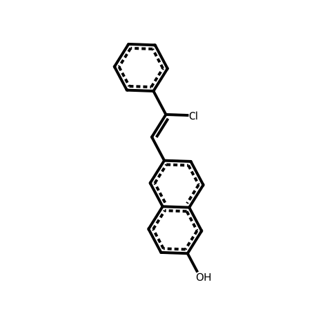 Oc1ccc2cc(/C=C(\Cl)c3ccccc3)ccc2c1